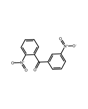 O=C(c1cccc([N+](=O)[O-])c1)c1ccccc1[N+](=O)[O-]